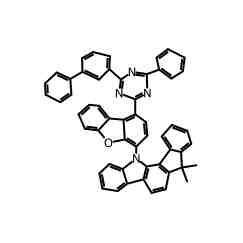 CC1(C)c2ccccc2-c2c1ccc1c3ccccc3n(-c3ccc(-c4nc(-c5ccccc5)nc(-c5cccc(-c6ccccc6)c5)n4)c4c3oc3ccccc34)c21